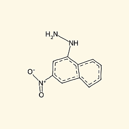 NNc1cc([N+](=O)[O-])cc2ccccc12